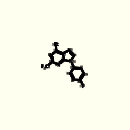 CCc1nc(C(F)(F)F)nc2c1ncn2-c1ccc(F)cc1